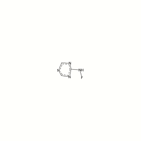 FNc1ncncn1